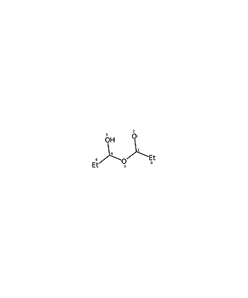 CCC([O])OC(O)CC